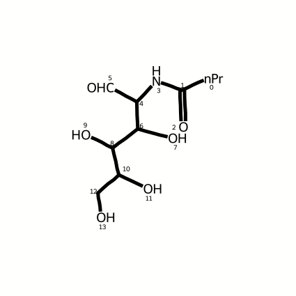 CCCC(=O)NC(C=O)C(O)C(O)C(O)CO